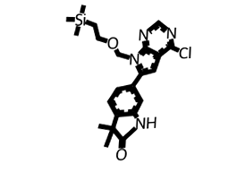 CC1(C)C(=O)Nc2cc(-c3cc4c(Cl)ncnc4n3COCC[Si](C)(C)C)ccc21